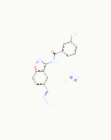 C#N.C#N.N#Cc1cccc(C(=O)Nc2noc3ccc(C=NN)cc23)c1